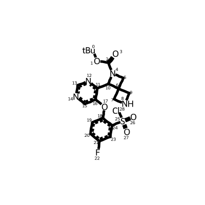 CC(C)(C)OC(=O)N1CC2(CNC2)C1c1ncncc1Oc1ccc(F)cc1S(=O)(=O)Cl